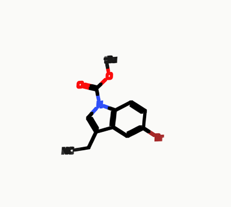 CC(C)(C)OC(=O)n1cc(CC#N)c2cc(Br)ccc21